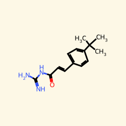 CC(C)(C)c1ccc(C=CC(=O)NC(=N)N)cc1